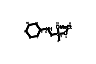 CCO[Si](C)(CNC1CCCCC1)OC